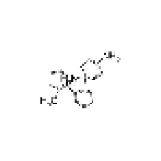 Cc1ccccc1-c1ccccc1C1(N)C=CC(N)=CC1